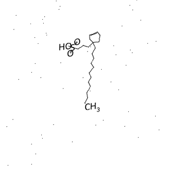 CCCCCCCCCCCCCC1(CCCS(=O)(=O)O)CC=CCC1